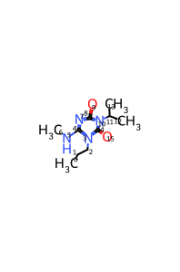 CCCn1c(NC)nc(=O)n(C(C)C)c1=O